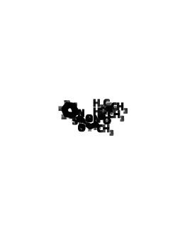 CC(CS(=O)(=O)c1nc2ccccc2s1)NC(=O)OC(C)(C)C